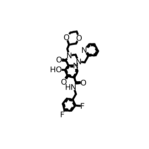 O=C(NCc1ccc(F)cc1F)c1cn2c(c(O)c1=O)C(=O)N(CC1COCCO1)CN2Cc1ccccn1